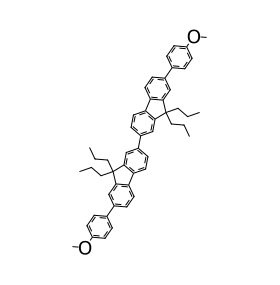 CCCC1(CCC)c2cc(-c3ccc(OC)cc3)ccc2-c2ccc(-c3ccc4c(c3)C(CCC)(CCC)c3cc(-c5ccc(OC)cc5)ccc3-4)cc21